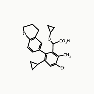 CCc1cc(C2CC2)c(-c2ccc3c(c2)CCCO3)c(C(OC2CC2)C(=O)O)c1C